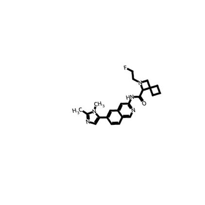 Cc1ncc(-c2ccc3cnc(NC(=O)C4N(CCF)CC45CCC5)cc3c2)n1C